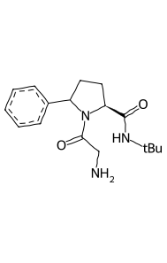 CC(C)(C)NC(=O)[C@@H]1CCC(c2ccccc2)N1C(=O)CN